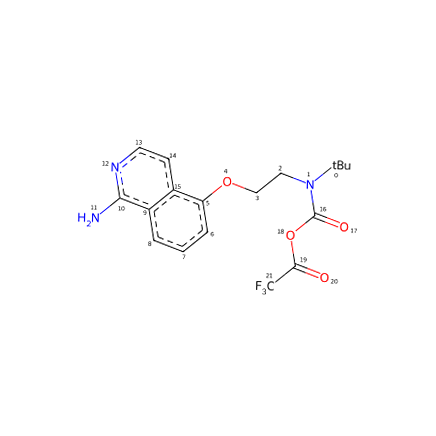 CC(C)(C)N(CCOc1cccc2c(N)nccc12)C(=O)OC(=O)C(F)(F)F